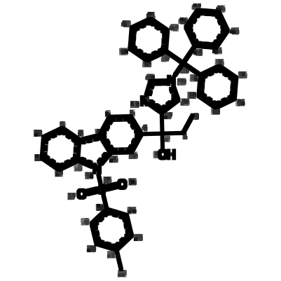 CCC(O)(c1ccc2c3ccccc3n(S(=O)(=O)c3ccc(C)cc3)c2c1)c1cn(C(c2ccccc2)(c2ccccc2)c2ccccc2)cn1